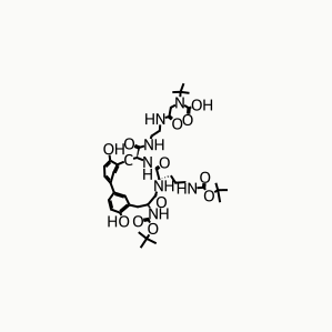 CC(C)(C)OC(=O)NCCC[C@@H]1NC(=O)[C@@H](NC(=O)OC(C)(C)C)Cc2cc(ccc2O)-c2ccc(O)c(c2)C[C@@H](C(=O)NCCNC(=O)CN(C(=O)O)C(C)(C)C)NC1=O